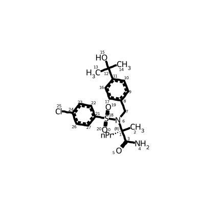 CCC[C@](C)(C(N)=O)N(Cc1ccc(C(C)(C)O)cc1)S(=O)(=O)c1ccc(Cl)cc1